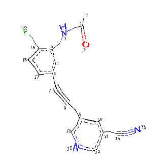 CC(=O)Nc1cc(C#Cc2cncc(C#N)c2)ccc1F